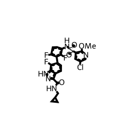 COc1ncc(Cl)cc1S(=O)(=O)Nc1ccc(F)c(-c2ccc3c(C(=O)NCC4CC4)n[nH]c3c2F)c1F